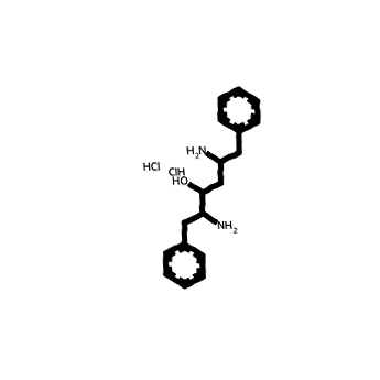 Cl.Cl.NC(Cc1ccccc1)CC(O)C(N)Cc1ccccc1